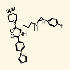 O=C(N[C@@H](CCCNC1C[C@H]1c1ccc(F)cc1)C(=O)N1CCS(=O)(=O)CC1)c1ccc(-n2cccc2)cc1